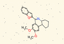 COc1cc2c(cc1OC)C1CCCCC1N=C2c1cc2ccccc2o1